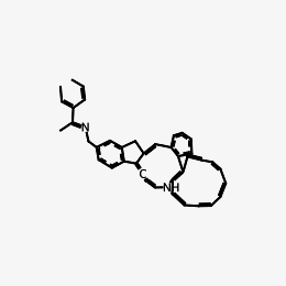 C\C=C/C(=C\C)C(/C)=N/Cc1ccc2c(c1)C/C1=C/c3ccccc3C3=C(\C=C/C=C\C=C/C=C\C=C\3)NC=C=C=C12